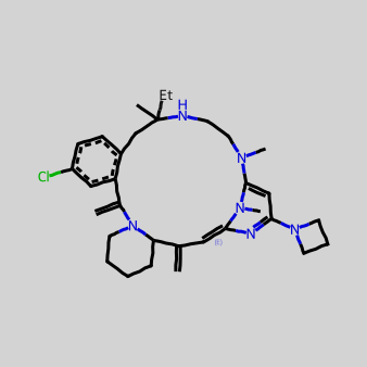 C=C1/C=C2/N=C(N3CCC3)C=C(N(C)CCNC(C)(CC)Cc3ccc(Cl)cc3C(=C)N3CCCCC13)N2C